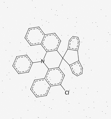 Clc1cc2c(c3ccccc13)N(c1ccccc1)c1c(ccc3ccccc13)C21c2ccccc2-c2ccccc21